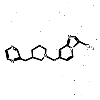 Cc1cnc2cc(CN3CCCC(Cc4cnccn4)C3)ccn12